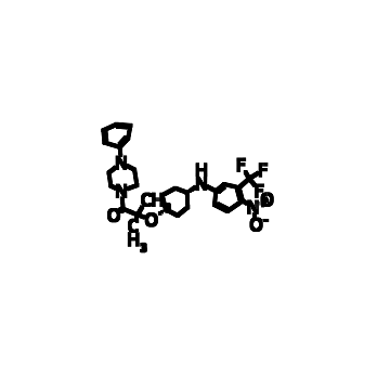 CC(C)(O[C@H]1CC[C@H](Nc2ccc([N+](=O)[O-])c(C(F)(F)F)c2)CC1)C(=O)N1CCN(c2ccccc2)CC1